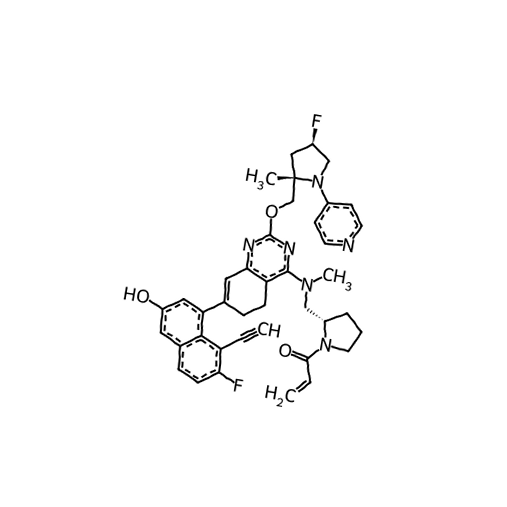 C#Cc1c(F)ccc2cc(O)cc(C3=Cc4nc(OC[C@]5(C)C[C@@H](F)CN5c5ccncc5)nc(N(C)C[C@@H]5CCCN5C(=O)C=C)c4CC3)c12